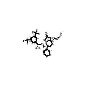 C[C@@H](OC[C@@]1(c2ccccc2)CC[C@]2(CN=[N+]=[N-])CN1CC(=O)N2)c1cc(C(F)(F)F)cc(C(F)(F)F)c1